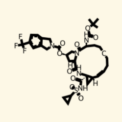 CC(C)(C)OC(=O)N[C@H]1CCCCC/C=C\[C@@H]2C[C@@]2(C(=O)NS(=O)(=O)C2CC2)NC(=O)[C@@H]2C[C@@H](OC(=O)N3Cc4ccc(C(F)(F)F)cc4C3)CN2C1=O